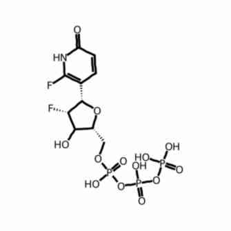 O=c1ccc([C@@H]2O[C@H](COP(=O)(O)OP(=O)(O)OP(=O)(O)O)C(O)[C@@H]2F)c(F)[nH]1